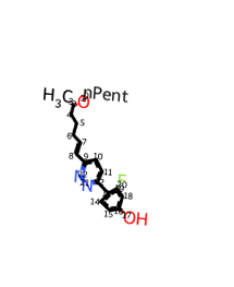 CCCCCOC(C)CCCC=Cc1ccc(-c2ccc(O)cc2F)nn1